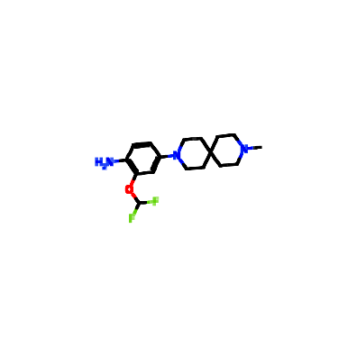 CN1CCC2(CC1)CCN(c1ccc(N)c(OC(F)F)c1)CC2